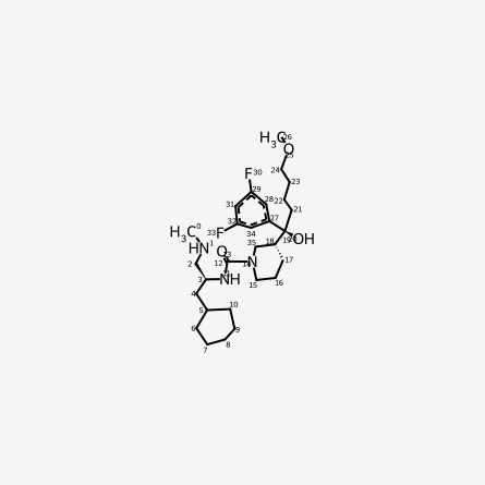 CNC[C@H](CC1CCCCC1)NC(=O)N1CCC[C@@H]([C@@](O)(CCCCOC)c2cc(F)cc(F)c2)C1